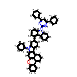 c1ccc(-c2cc(-c3ccccc3)nc(-n3c4ccccc4c4c(-c5ccc6c7c8cccc9c8c(cc7n(-c7ccccc7)c6c5)Oc5ccccc5-9)cccc43)n2)cc1